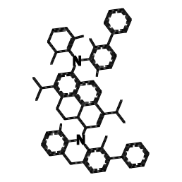 CC1=C(N(c2c(C)ccc(-c3ccccc3)c2C)c2cc(C(C)C)c3c4c5c(ccc24)C(C(C)C)=CC(N2c4c(C)cccc4Cc4ccc(-c6ccccc6)c(C)c42)C5CC3)C(C)CC=C1